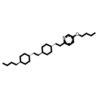 CCCCOc1ccc(CC[C@H]2CC[C@H](CC[C@H]3CC[C@H](CCCC)CC3)CC2)nc1